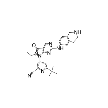 CCn1c(=O)c2cnc(Nc3ccc4c(c3)CCNC4)nc2n1-c1cc(C#N)nc(C(C)(C)C)c1